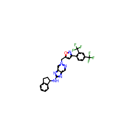 FC(F)(F)c1ccc(-c2cc(Cn3cc4nc(NC5CCc6ccccc65)nc-4cn3)on2)c(C(F)(F)F)c1